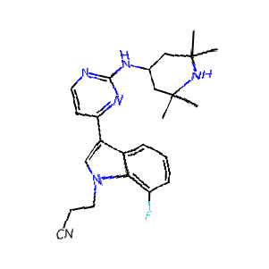 CC1(C)CC(Nc2nccc(-c3cn(CCC#N)c4c(F)cccc34)n2)CC(C)(C)N1